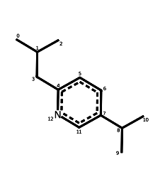 CC(C)Cc1ccc(C(C)C)cn1